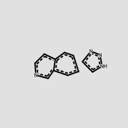 c1c[nH]nn1.c1ccc2cnccc2c1